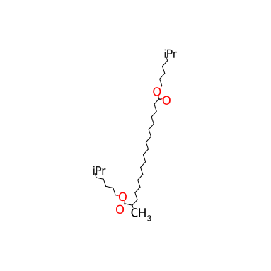 CC(C)CCCCCOC(=O)CCCCCCCCCCCCCCCCC(C)C(=O)OCCCCCC(C)C